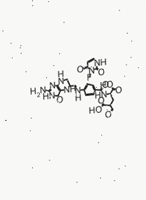 Nc1nc2c(c(=O)[nH]1)NC(CNc1ccc(C(=O)NC(CC(C=O)C(=O)O)C(=O)O)cc1)CN2.O=c1cc[nH]c(=O)n1F